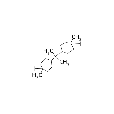 CC1(I)CCC(C(C)(C)C2CCC(C)(I)CC2)CC1